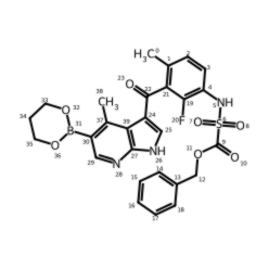 Cc1ccc(NS(=O)(=O)C(=O)OCc2ccccc2)c(F)c1C(=O)c1c[nH]c2ncc(B3OCCCO3)c(C)c12